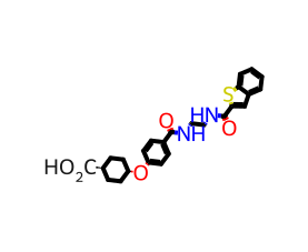 O=C(NCCNC(=O)c1cc2ccccc2s1)c1ccc(O[C@H]2CC[C@@H](C(=O)O)CC2)cc1